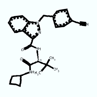 CC(C)(C)[C@H](NC(=O)c1nn(Cc2ccc(C#N)cc2)c2ccccc12)C(=O)NC1CCC1